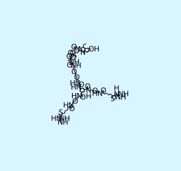 CCc1c2c(nc3ccc(O)cc13)-c1cc3c(c(=O)n1C2)COC[C@@]3(CC)OC(=O)[C@H](C)NC(=O)NCCOCCOCCNC(=O)Nc1cc(C(=O)NCCOCCNC(=O)CCCCC2SCC3NC(=N)NC32)cc(C(=O)NCCOCCNC(=O)CCCCC2SCC3NC(=N)NC32)c1